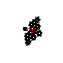 C1=C(C2CCCCC2)[CH]([Ti+2]2([CH]3C(C4CCCCC4)=Cc4c(-c5c6ccccc6cc6ccccc56)cccc43)[CH]3CCCC[CH]32)c2cccc(-c3c4ccccc4cc4ccccc34)c21.[Cl-].[Cl-]